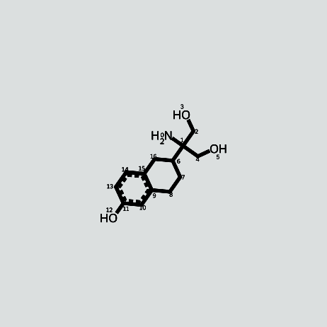 NC(CO)(CO)C1CCc2cc(O)ccc2C1